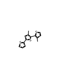 Cc1ccsc1-c1sc(-c2cccs2)cc1C